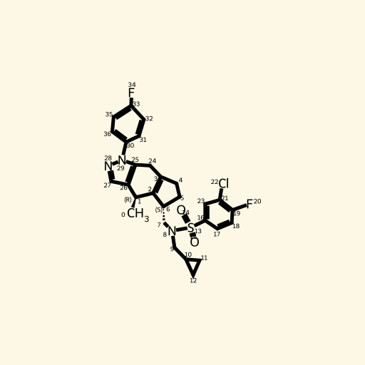 C[C@@H]1C2=C(CC[C@@H]2CN(CC2CC2)S(=O)(=O)c2ccc(F)c(Cl)c2)Cc2c1cnn2-c1ccc(F)cc1